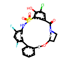 O=C1c2cc(Cl)c(O)c(c2)S(=O)(=O)Nc2cc(c(F)cc2F)-c2ccccc2COC2CCN1C2